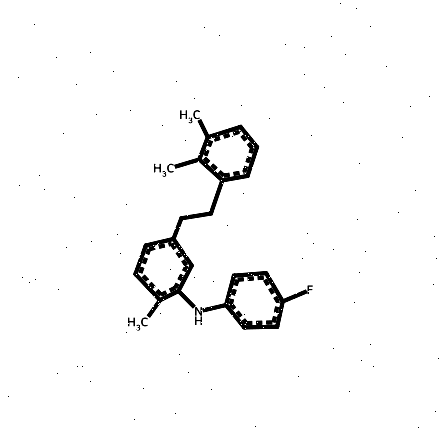 Cc1ccc(CCc2cccc(C)c2C)cc1Nc1ccc(F)cc1